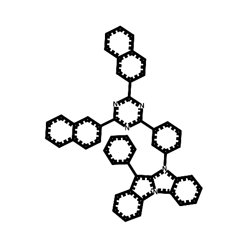 c1ccc(-c2c3ccccc3n3c4ccccc4n(-c4cccc(-c5nc(-c6ccc7ccccc7c6)nc(-c6ccc7ccccc7c6)n5)c4)c23)cc1